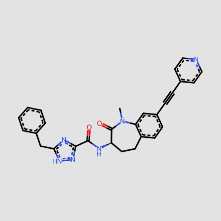 CN1C(=O)[C@H](NC(=O)c2n[nH]c(Cc3ccccc3)n2)CCc2ccc(C#Cc3ccncc3)cc21